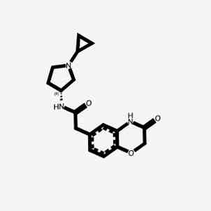 O=C1COc2ccc(CC(=O)N[C@@H]3CCN(C4CC4)C3)cc2N1